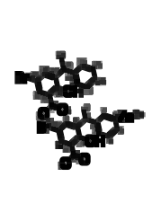 CC(c1ccccc1)c1cc(Br)cc(C(=O)[O-])c1O.CC(c1ccccc1)c1cc(Br)cc(C(=O)[O-])c1O.[Zn+2]